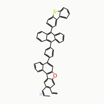 C=Cc1cc2oc3cc(-c4ccc(-c5c6ccccc6c(-c6ccc7sc8ccccc8c7c6)c6ccccc56)cc4)c4ccccc4c3c2cc1/C=C\C